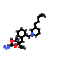 CCCCC1CCCN(CC2CCCCC2CC(C)(C)OC(N)=O)C1